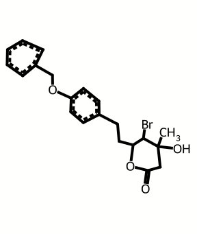 CC1(O)CC(=O)OC(CCc2ccc(OCc3ccccc3)cc2)C1Br